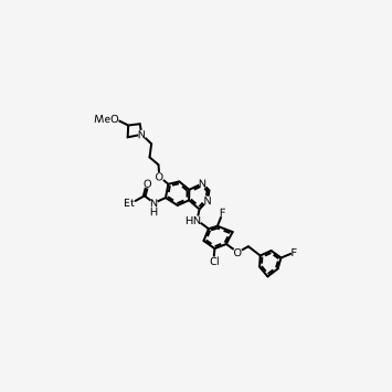 CCC(=O)Nc1cc2c(Nc3cc(Cl)c(OCc4cccc(F)c4)cc3F)ncnc2cc1OCCCN1CC(OC)C1